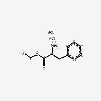 CCOC(=O)C(N)Cc1ccccn1.Cl.Cl